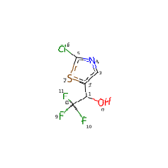 OC(c1cnc(Cl)s1)C(F)(F)F